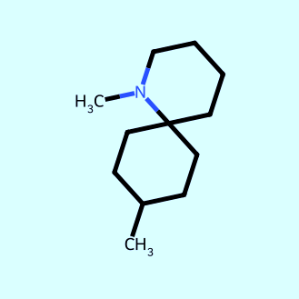 CC1CCC2(CCCCN2C)CC1